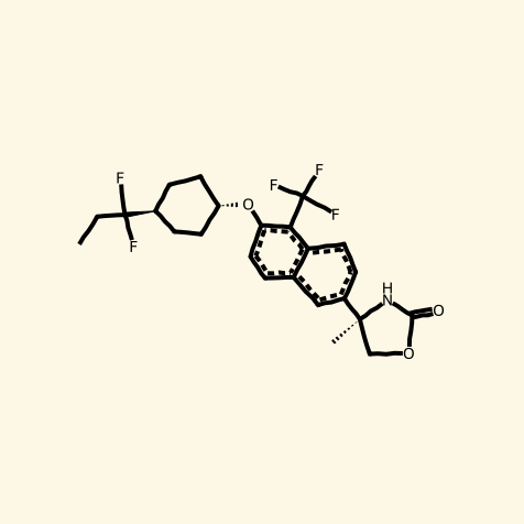 CCC(F)(F)[C@H]1CC[C@H](Oc2ccc3cc([C@]4(C)COC(=O)N4)ccc3c2C(F)(F)F)CC1